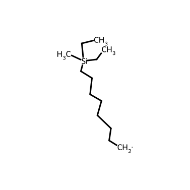 [CH2]CCCCCCC[Si](C)(CC)CC